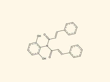 O=C(C=Cc1ccccc1)N(C(=O)C=Cc1ccccc1)c1c(O)cccc1O